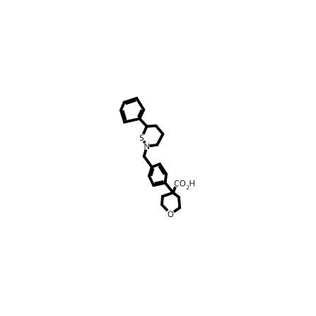 O=C(O)C1(c2ccc(CN3CCCC(c4ccccc4)S3)cc2)CCOCC1